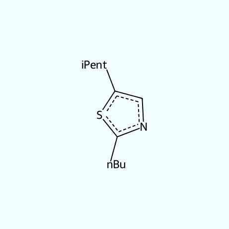 CCCCc1ncc(C(C)CCC)s1